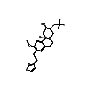 COc1cc2c(cc1OCc1ccon1)CCN1C[C@@H](CC(C)(C)C)[C@H](O)C[C@H]21